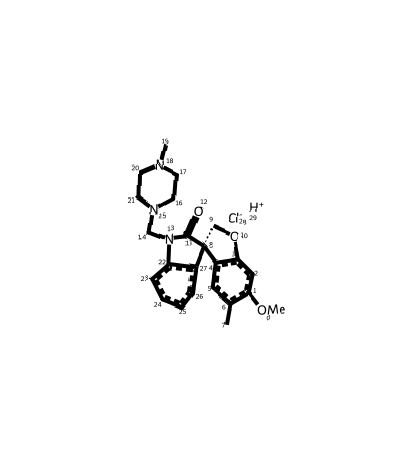 COc1cc2c(cc1C)[C@]1(CO2)C(=O)N(CN2CCN(C)CC2)c2ccccc21.[Cl-].[H+]